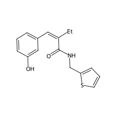 CCC(=Cc1cccc(O)c1)C(=O)NCc1cccs1